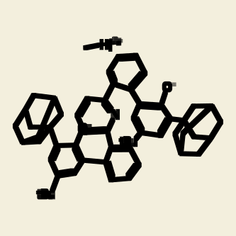 CC(C)(C)c1cc(-c2ccccc2-c2cccc(-c3ccccc3-c3cc(C(C)(C)C)cc(C45CC6CC(CC(C6)C4)C5)c3[O-])n2)c([O-])c(C23CC4CC(CC(C4)C2)C3)c1.[CH3][Hf+2][CH3]